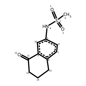 CS(=O)(=O)Nc1ccc2c(c1)C(=O)CCC2